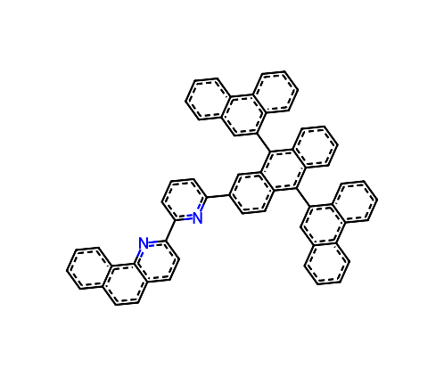 c1cc(-c2ccc3c(-c4cc5ccccc5c5ccccc45)c4ccccc4c(-c4cc5ccccc5c5ccccc45)c3c2)nc(-c2ccc3ccc4ccccc4c3n2)c1